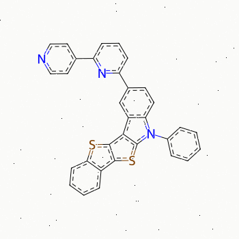 c1ccc(-n2c3ccc(-c4cccc(-c5ccncc5)n4)cc3c3c4sc5ccccc5c4sc32)cc1